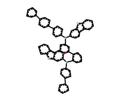 c1ccc(-c2ccc(-c3ccc(N(c4cccc(-c5ccccc5N(c5ccc(-c6ccccc6)cc5)c5ccc6c(c5)oc5ccccc56)c4)c4ccc5c(c4)oc4ccccc45)cc3)cc2)cc1